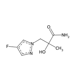 CC(O)(Cn1cc(F)cn1)C(N)=O